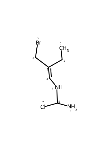 CC/C(=C\NC(N)Cl)CBr